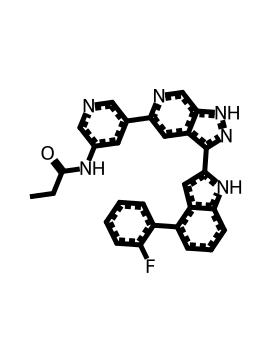 CCC(=O)Nc1cncc(-c2cc3c(-c4cc5c(-c6ccccc6F)cccc5[nH]4)n[nH]c3cn2)c1